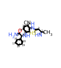 CC(=N)/C=C(\S)Nc1cc(N[C@@H](C(N)=O)c2ccccc2)ccc1C#N